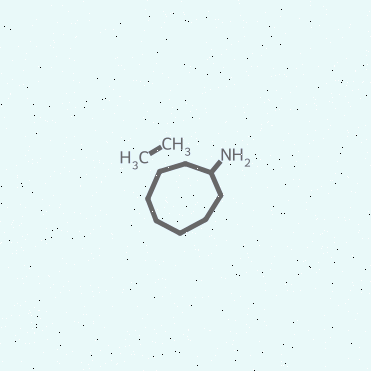 CC.NC1CCCCCCC1